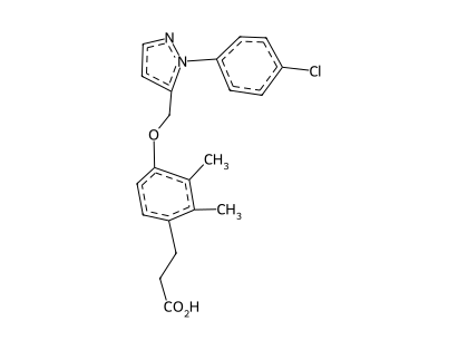 Cc1c(CCC(=O)O)ccc(OCc2ccnn2-c2ccc(Cl)cc2)c1C